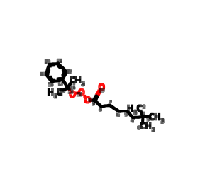 CC(C)(C)CCCCCC(=O)OOOC(C)(C)c1ccccc1